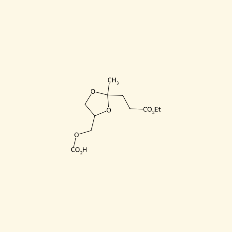 CCOC(=O)CCC1(C)OCC(COC(=O)O)O1